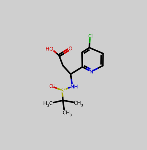 CC(C)(C)[S+]([O-])NC(CC(=O)O)c1cc(Cl)ccn1